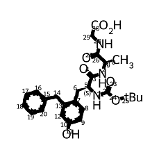 C[C@@H](NC(=O)[C@H](Cc1ccc(O)cc1Cc1ccccc1)NC(=O)OC(C)(C)C)C(=O)NCC(=O)O